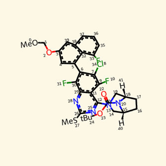 COCOc1cc(-c2c(Cl)c(F)c3c(N4C[C@H]5CC[C@@H](C4)N5C(=O)OC(C)(C)C)nc(SC)nc3c2F)c2c(F)cccc2c1